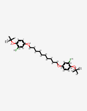 CCC(C)(C)Oc1ccc(OCCCCCCCCCCOc2ccc(OC(C)(C)CC)c(F)c2)cc1F